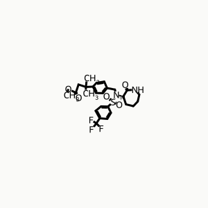 COC(=O)CC(C)(C)c1ccc(CN([C@@H]2CCCCNC2=O)S(=O)(=O)c2ccc(C(F)(F)F)cc2)cc1